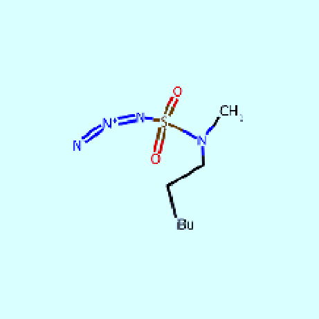 CCC(C)CCN(C)S(=O)(=O)N=[N+]=[N-]